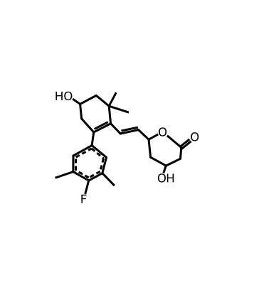 Cc1cc(C2=C(C=CC3CC(O)CC(=O)O3)C(C)(C)CC(O)C2)cc(C)c1F